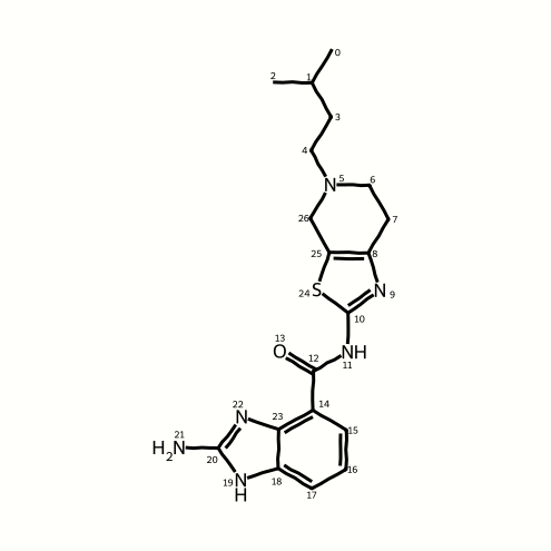 CC(C)CCN1CCc2nc(NC(=O)c3cccc4[nH]c(N)nc34)sc2C1